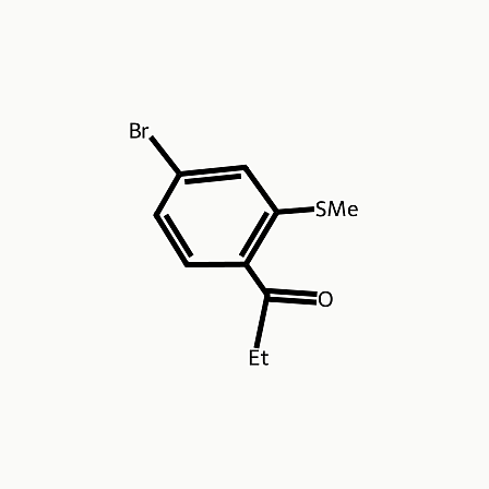 CCC(=O)c1ccc(Br)cc1SC